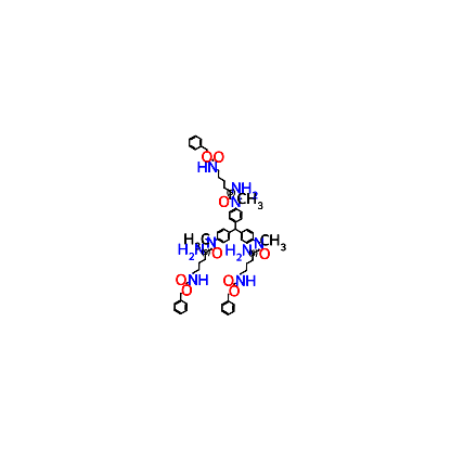 CN(C(=O)[C@@H](N)CCCCNC(=O)OCc1ccccc1)c1ccc(C(c2ccc(N(C)C(=O)[C@@H](N)CCCCNC(=O)OCc3ccccc3)cc2)c2ccc(N(C)C(=O)[C@@H](N)CCCCNC(=O)OCc3ccccc3)cc2)cc1